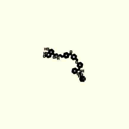 O=C(N[C@@H](c1ccccc1)c1cccc(OCC2CCN(C(=O)c3ccc(CCNC[C@H](O)c4ccc(O)c5[nH]c(=O)ccc45)cc3)CC2)c1)O[C@H]1CN2CCC1CC2